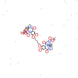 COc1cc2c(cc1OCCCCCOc1cc3c(cc1OC)C(=O)N1CCC[C@H]1C(O[Si](C)(C)C(C)(C)C)N3C(=O)O)N(C(=O)[C@H](C)NC(=O)OC(C)(C)C)C[C@@H]1CCCN1C2=O